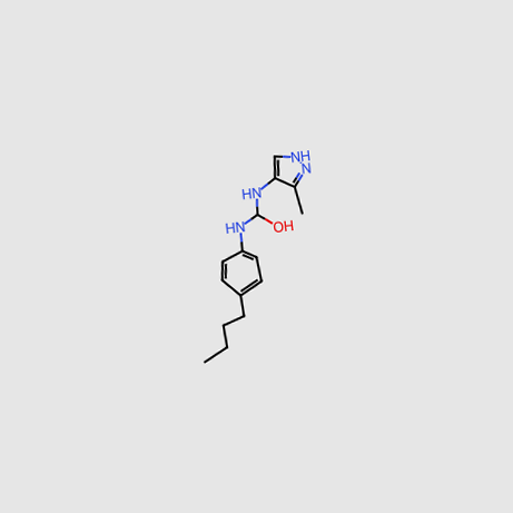 CCCCc1ccc(NC(O)Nc2c[nH]nc2C)cc1